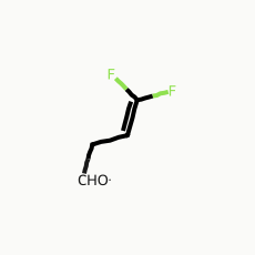 O=[C]CC=C(F)F